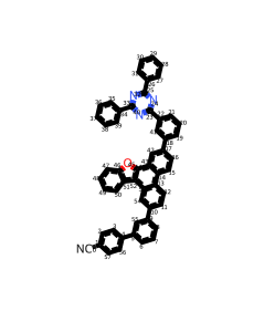 N#Cc1ccc(-c2cccc(-c3ccc4c5ccc(-c6cccc(-c7nc(-c8ccccc8)nc(-c8ccccc8)n7)c6)cc5c5oc6ccccc6c5c4c3)c2)cc1